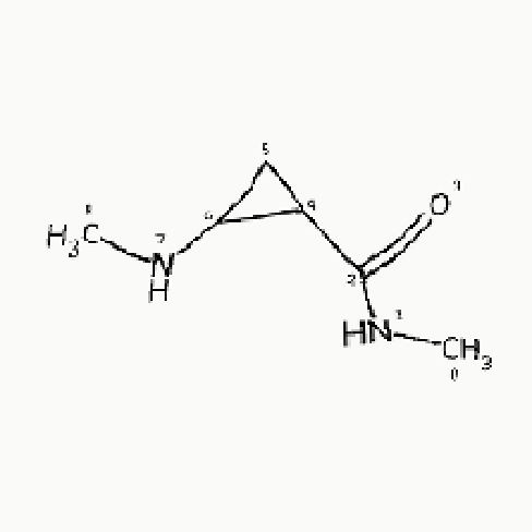 CNC(=O)C1CC1NC